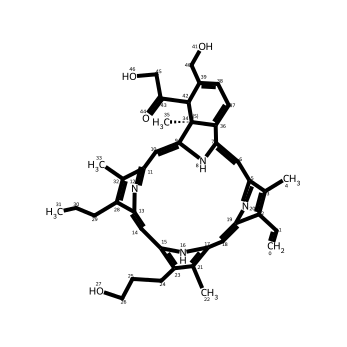 C=CC1=C(C)c2cc3[nH]c(cc4nc(cc5[nH]c(cc1n2)c(C)c5CCCO)C(CCC)=C4C)[C@]1(C)C3=CC=C(CO)C1C(=O)CO